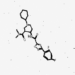 CN(C)C(=O)C1CN(C2CCCCC2)CCC1NC(=O)c1nc(-c2ccc(F)cc2F)no1